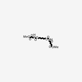 COC(=O)CCC(=O)CNC(=O)OCCCCCCOC(=O)NCC(=O)C(=O)OC